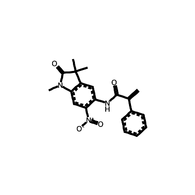 C=C(C(=O)Nc1cc2c(cc1[N+](=O)[O-])N(C)C(=O)C2(C)C)c1ccccc1